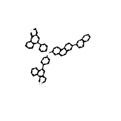 c1ccc2cc(-c3ccc4c(ccc5cc(N(c6ccc(-c7cc8ccncc8c8ccccc78)cc6)c6ccc(-c7cc8ccncc8c8ccccc78)cc6)ccc54)c3)ccc2c1